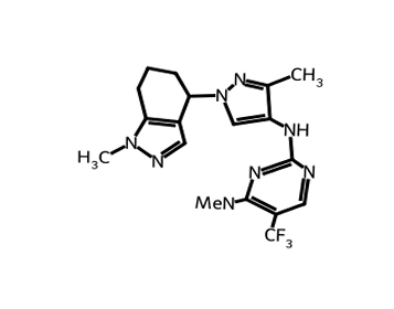 CNc1nc(Nc2cn(C3CCCc4c3cnn4C)nc2C)ncc1C(F)(F)F